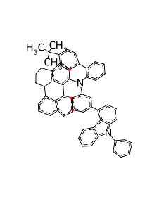 CC(C)(C)c1ccc(-c2ccccc2N(c2cccc(-c3cccc4c3c3ccccc3n4-c3ccccc3)c2)c2ccccc2-c2cccc3cccc(C4CCCCC4)c23)cc1